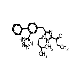 CCC(=O)c1nc(Cc2ccc(-c3ccccc3)c(-c3nnn[nH]3)c2)n(CCC(C)C)n1